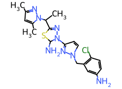 Cc1cc(C)n(C(C)C2=NN(c3ccn(Cc4cc(N)ccc4Cl)n3)C(N)S2)n1